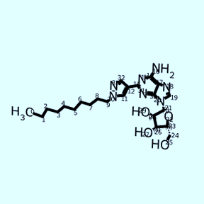 CCCCCCCCCCn1cc(-c2nc(N)c3ncn([C@@H]4O[C@H](CO)[C@@H](O)[C@H]4O)c3n2)cn1